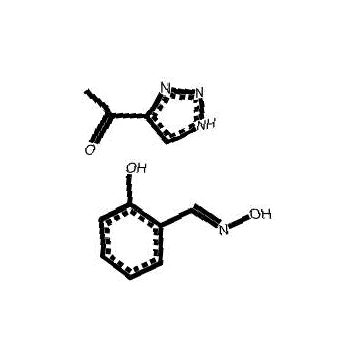 CC(=O)c1c[nH]nn1.ON=Cc1ccccc1O